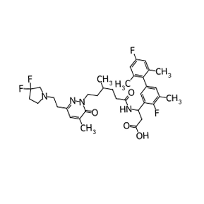 Cc1cc(-c2c(C)cc(F)cc2C)cc(C(CC(=O)O)NC(=O)CCC(C)CCn2nc(CCN3CCC(F)(F)C3)cc(C)c2=O)c1F